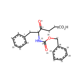 O=C(O)CCC(=O)C(Cc1ccccc1)NC(=O)OCc1ccccc1